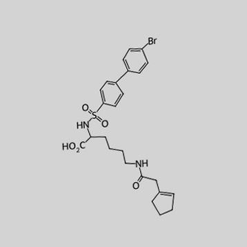 O=C(CC1=CCCC1)NCCCCC(NS(=O)(=O)c1ccc(-c2ccc(Br)cc2)cc1)C(=O)O